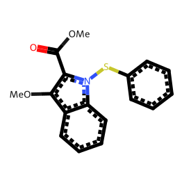 COC(=O)c1c(OC)c2ccccc2n1Sc1ccccc1